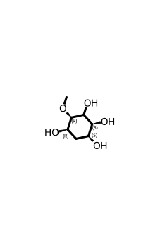 CO[C@H]1C(O)[C@@H](O)[C@@H](O)C[C@H]1O